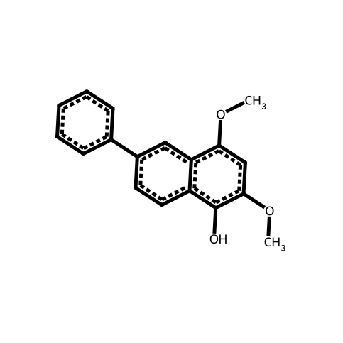 COc1cc(OC)c2cc(-c3ccccc3)ccc2c1O